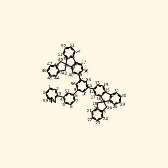 c1ccc(-c2cccc(-c3cc(-c4ccc5c(c4)C4(Cc6ccccc6C4)c4ccccc4-5)cc(-c4ccc5c(c4)C4(Cc6ccccc6C4)c4ccccc4-5)c3)c2)nc1